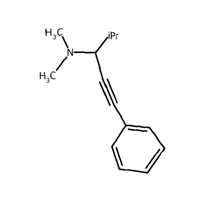 CC(C)C(C#Cc1ccccc1)N(C)C